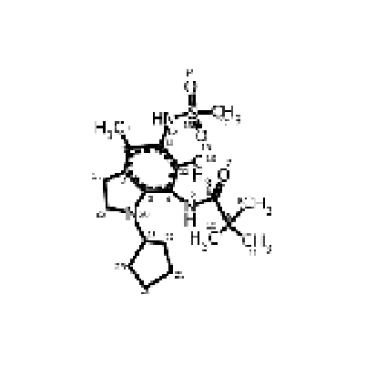 Cc1c2c(c(NC(=O)C(C)(C)C)c(C)c1NS(C)(=O)=O)N(C1CCCC1)CC2